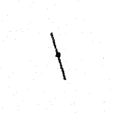 CCCCCCCCCCCCCCCCC[CH]OCCCCCCCCCCCCCCCC